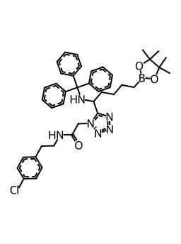 CC1(C)OB(CCCCC(NC(c2ccccc2)(c2ccccc2)c2ccccc2)c2nnnn2CC(=O)NCCc2ccc(Cl)cc2)OC1(C)C